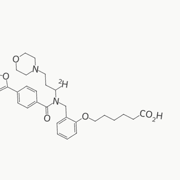 [2H]C(CCN1CCOCC1)N(Cc1ccccc1OCCCCCC(=O)O)C(=O)c1ccc(-c2ccco2)cc1